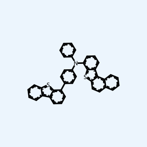 c1ccc(N(c2ccc(-c3cccc4c3sc3ccccc34)cc2)c2cccc3c2sc2ccc4ccccc4c23)cc1